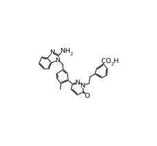 Cc1ccc(Cn2c(N)nc3ccccc32)cc1-c1ccc(=O)n(CCc2cccc(C(=O)O)c2)n1